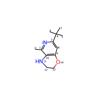 Cc1nc(C(C)(C)C)cc2c1NCCO2